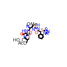 CON=C(C(=O)N[C@@H]1C(=O)N2C(C(=O)O)=C(COC(C)=O)CS[C@H]12)c1csc(NC(=O)C(Sc2nnnn2C)c2ccccc2)n1